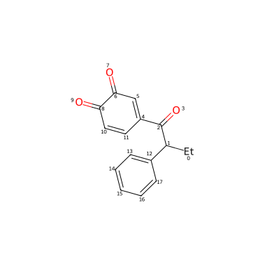 CCC(C(=O)C1=CC(=O)C(=O)C=C1)c1ccccc1